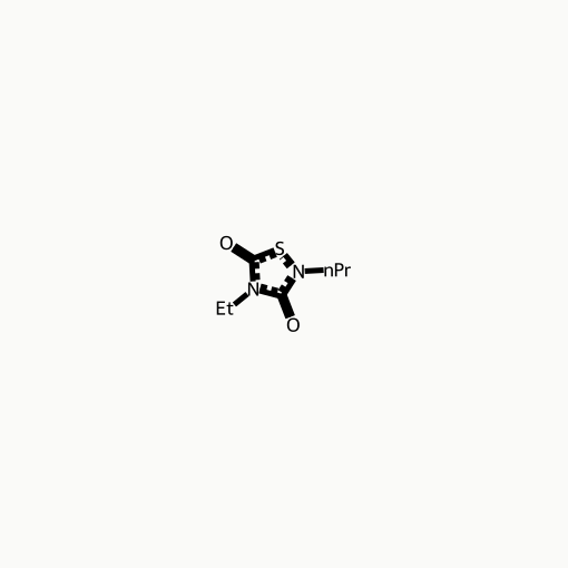 CCCn1sc(=O)n(CC)c1=O